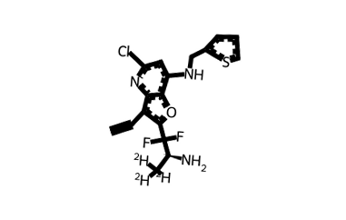 [2H]C([2H])([2H])[C@H](N)C(F)(F)c1oc2c(NCc3cccs3)cc(Cl)nc2c1C#C